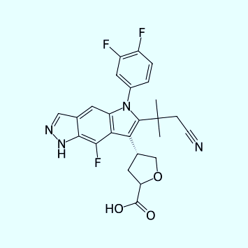 CC(C)(CC#N)c1c([C@@H]2COC(C(=O)O)C2)c2c(F)c3[nH]ncc3cc2n1-c1ccc(F)c(F)c1